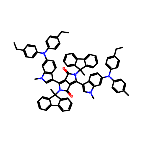 CCc1ccc(N(c2ccc(C)cc2)c2ccc3c(C4=C5C(=O)N(C6(C)c7ccccc7-c7ccccc76)C(c6cn(C)c7cc(N(c8ccc(CC)cc8)c8ccc(CC)cc8)ccc67)=C5C(=O)N4C4(C)c5ccccc5-c5ccccc54)cn(C)c3c2)cc1